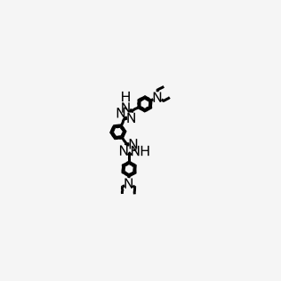 CCN(CC)c1ccc(-c2nc(-c3cccc(-c4n[nH]c(-c5ccc(N(CC)CC)cc5)n4)c3)n[nH]2)cc1